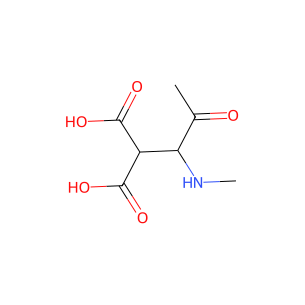 CNC(C(C)=O)C(C(=O)O)C(=O)O